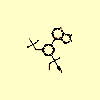 CCC(C)(C#N)c1cc(CC(F)(F)F)cc(-c2ccnc3[nH]ncc23)c1